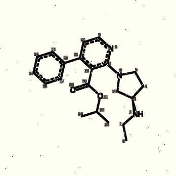 CCN[C@@H]1CCN(c2nccc(-c3ccccc3)c2C(=O)OC(C)C)C1